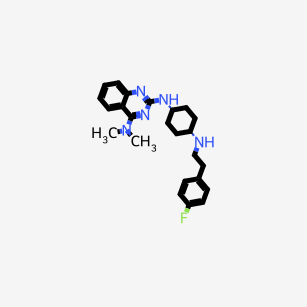 CN(C)c1nc(N[C@H]2CC[C@@H](NCCc3ccc(F)cc3)CC2)nc2ccccc12